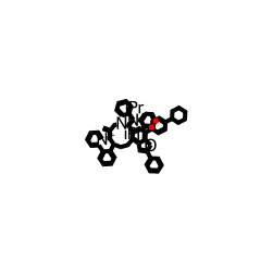 C=C1C[n+]2c(n(-c3c(C(C)C)cccc3C(C)C)c3ccccc32)-c2cc(-c3ccc(C4CCCCC4)cc3)c3oc(-c4ccccc4)cc3c2CCC2c3ccccc3-c3cccc[n+]3C12